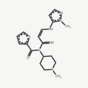 CN1CCC(N(C(=N)/C=C\Nc2ccnn2C)C(=O)c2cccs2)CC1